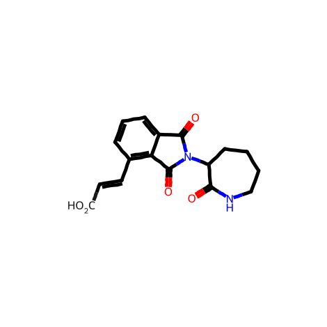 O=C(O)C=Cc1cccc2c1C(=O)N(C1CCCCNC1=O)C2=O